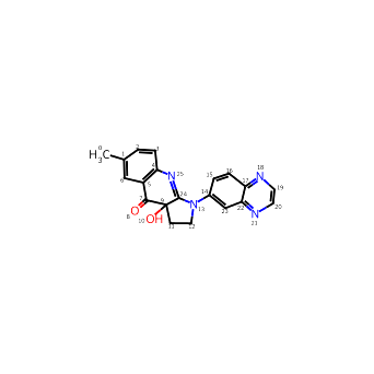 Cc1ccc2c(c1)C(=O)C1(O)CCN(c3ccc4nccnc4c3)C1=N2